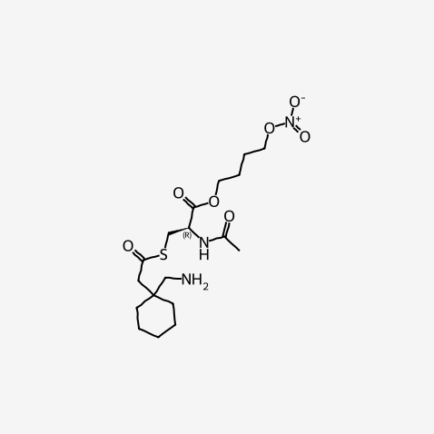 CC(=O)N[C@@H](CSC(=O)CC1(CN)CCCCC1)C(=O)OCCCCO[N+](=O)[O-]